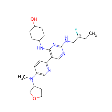 CC[C@H](F)CNc1ncc(-c2ccc(N(C)C3CCOC3)cn2)c(NC2CCC(O)CC2)n1